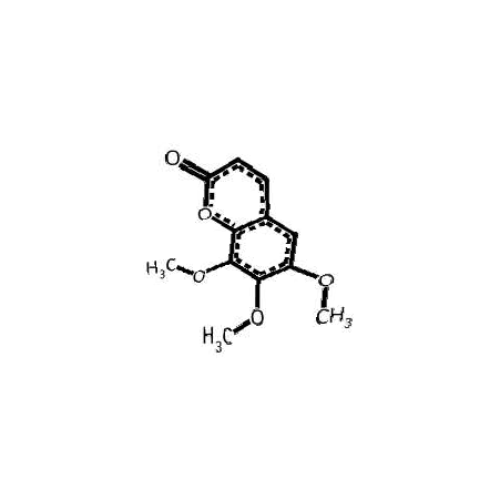 COc1cc2ccc(=O)oc2c(OC)c1OC